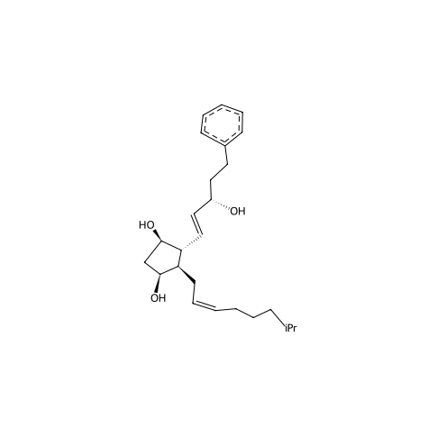 CC(C)CCC/C=C\C[C@@H]1[C@@H](/C=C/[C@@H](O)CCc2ccccc2)[C@H](O)C[C@@H]1O